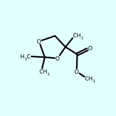 COC(=O)C1(C)COC(C)(C)O1